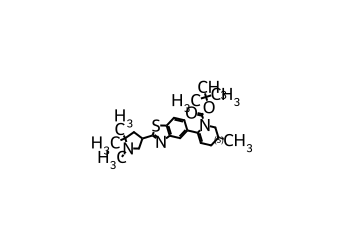 C[C@H]1CC=C(c2ccc3sc(C4CN(C)C(C)(C)C4)nc3c2)N(C(=O)OC(C)(C)C)C1